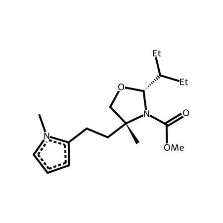 CCC(CC)[C@H]1OC[C@@](C)(CCc2cccn2C)N1C(=O)OC